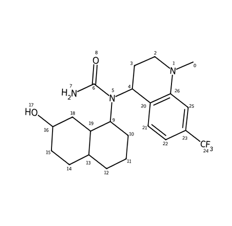 CN1CCC(N(C(N)=O)C2CCCC3CCC(O)CC32)c2ccc(C(F)(F)F)cc21